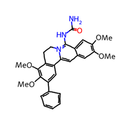 COc1cc2cc3[n+](c(NC(N)=O)c2cc1OC)CCc1c-3cc(-c2ccccc2)c(OC)c1OC